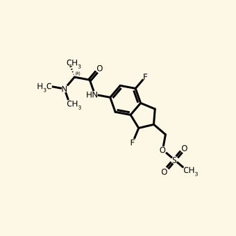 C[C@H](C(=O)Nc1cc(F)c2c(c1)C(F)C(COS(C)(=O)=O)C2)N(C)C